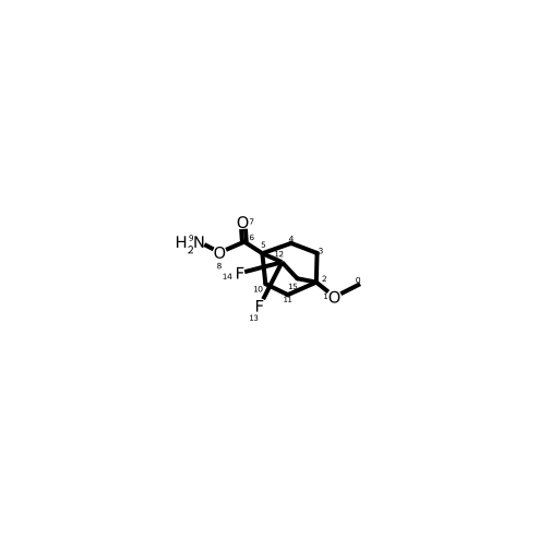 COC12CCC(C(=O)ON)(CC1)C(F)(F)C2